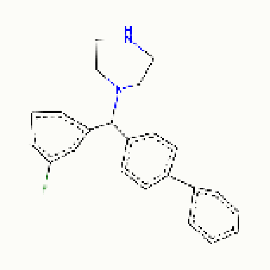 Fc1cccc(C(c2ccc(-c3ccccc3)cc2)N2CCNCC2)c1